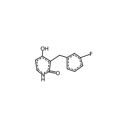 O=c1[nH]ccc(O)c1Cc1cccc(F)c1